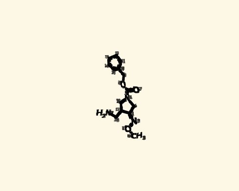 CON=C1CN(C(=O)OCc2ccccc2)CC1CN